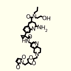 CCCN(CCO)C(=O)C1=Cc2ccc(C3(C(=O)Nc4cnc5c(c4)CN(CC4OCC(CN6C(=O)C=CC6=O)CO4)CC5)CC3)cc2N=C(N)C1